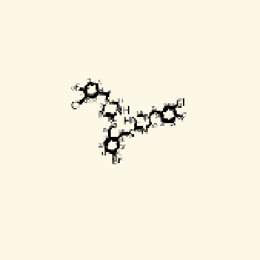 Fc1ccc(CN2CN=C(SCc3ccc(Br)cc3CSC3=NCN(Cc4ccc(F)c(Cl)c4)CN3)NC2)cc1Cl